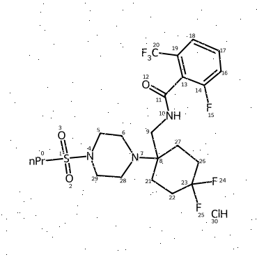 CCCS(=O)(=O)N1CCN(C2(CNC(=O)c3c(F)cccc3C(F)(F)F)CCC(F)(F)CC2)CC1.Cl